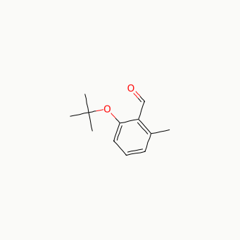 Cc1cccc(OC(C)(C)C)c1C=O